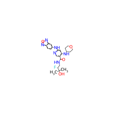 CC(C)(O)[C@H](F)CNC(=O)c1cnc(Nc2ccc3nonc3c2)cc1NC1CCOCC1